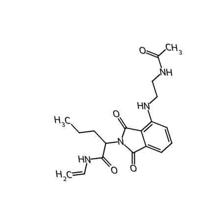 C=CNC(=O)C(CCC)N1C(=O)c2cccc(NCCNC(C)=O)c2C1=O